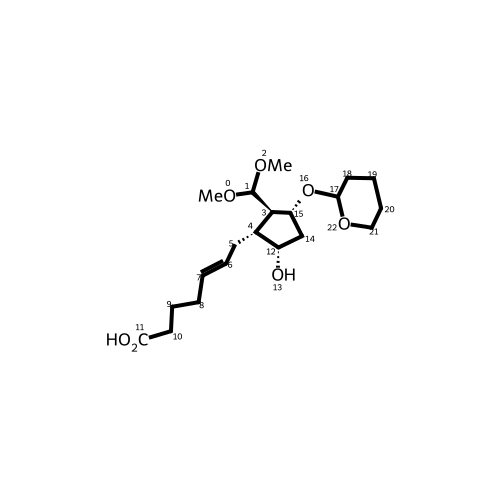 COC(OC)[C@@H]1[C@@H](CC=CCCCC(=O)O)[C@@H](O)C[C@H]1OC1CCCCO1